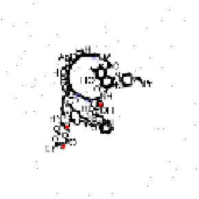 CCC(=O)OCOC(=O)NCCN(CC(=O)O[C@@H]1[C@@H](C)[C@@H](O)[C@@H](C)[C@H](OC(C)=O)[C@H](C)[C@@H](C)/C=C/O[C@@]2(C)Oc3c(C)c(O)c4c(c3C2=O)C2=NC3(CCN(CC(C)C)CC3)NC2=C(NC(=O)/C(C)=C\C=C\[C@@H]1C)C4=O)C(=O)C(CCC(=O)OC(Cc1ccccn1)(P(=O)(O)O)P(=O)(O)O)NC(=O)OCOC(=O)CC